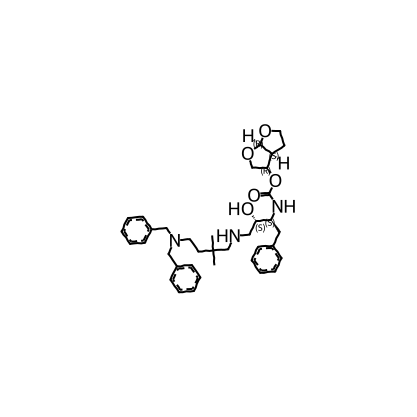 CC(C)(CCN(Cc1ccccc1)Cc1ccccc1)CNC[C@H](O)[C@H](Cc1ccccc1)NC(=O)O[C@H]1CO[C@H]2OCC[C@H]21